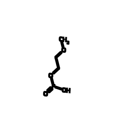 COCCO[P](=O)O